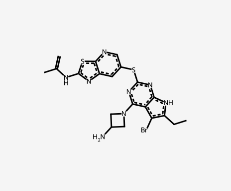 C=C(C)Nc1nc2cc(Sc3nc(N4CC(N)C4)c4c(Br)c(CC)[nH]c4n3)cnc2s1